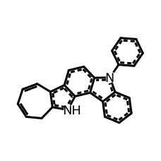 C1=CCc2[nH]c3c(ccc4c3c3ccccc3n4-c3ccccc3)c2C=C1